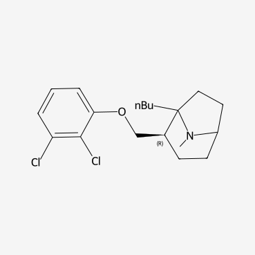 CCCCC12CCC(CC[C@H]1COc1cccc(Cl)c1Cl)N2C